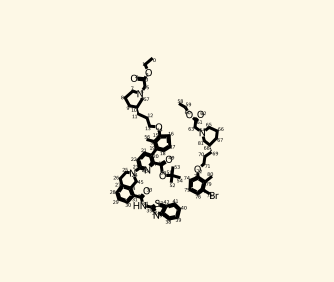 CCOC(=O)CN1CCC[C@H](CCCOc2cccc(-c3ccc(N4CCc5cccc(C(=O)Nc6nc7ccccc7s6)c5C4)nc3C(=O)OC(C)(C)C)c2C)C1.CCOC(=O)CN1CCC[C@H](CCCOc2cccc(Br)c2C)C1